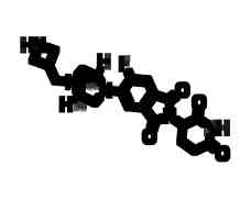 O=C1CCC(N2C(=O)c3cc(F)c(N4C[C@H]5C[C@@H]4CN5CC4CNC4)cc3C2=O)C(=O)N1